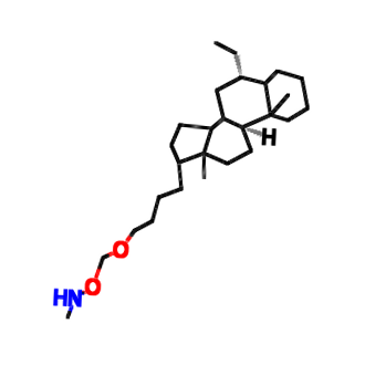 CC[C@H]1CC2C3CCC(CCCCOCONC)C3(C)CC[C@@H]2C2(C)CCCCC12